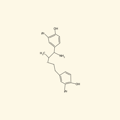 CC(C)c1cc(CC[CH]C(C)C(N)c2ccc(O)c(C(C)C)c2)ccc1O